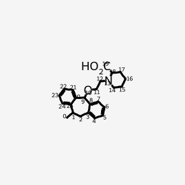 CC1Cc2ccccc2C(OCCN2CCCCC2C(=O)O)c2ccccc21